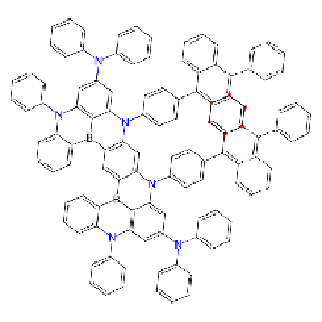 c1ccc(-c2c3ccccc3c(-c3ccc(N4c5cc6c(cc5B5c7ccccc7N(c7ccccc7)c7cc(N(c8ccccc8)c8ccccc8)cc4c75)B4c5ccccc5N(c5ccccc5)c5cc(N(c7ccccc7)c7ccccc7)cc(c54)N6c4ccc(-c5c6ccccc6c(-c6ccccc6)c6ccccc56)cc4)cc3)c3ccccc23)cc1